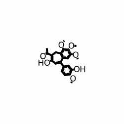 COc1ccc(C2=CC(O)=C(C(C)=O)Cc3c2cc(OC)c(OC)c3OC)cc1O